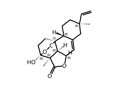 C=C[C@]1(C)CC[C@@H]2C(=C[C@H]3OC(=O)[C@]4(C)[C@H]3[C@]23CC[C@@]4(O)OC3)C1